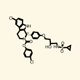 O=C(Oc1ccc(Cl)cc1)N1CCc2c([nH]c3ccc(Cl)cc23)[C@@H]1c1ccc(OCCC(O)CNS(=O)(=O)C2CC2)cc1